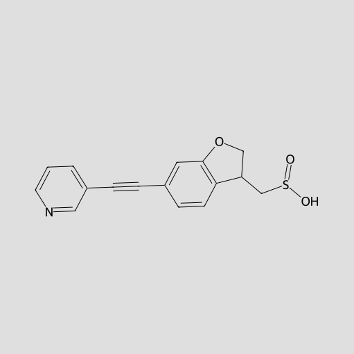 O=S(O)CC1COc2cc(C#Cc3cccnc3)ccc21